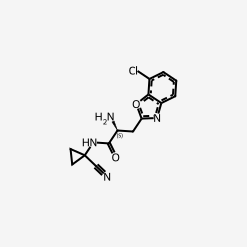 N#CC1(NC(=O)[C@@H](N)Cc2nc3cccc(Cl)c3o2)CC1